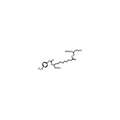 CCCCCCC(CCCCCCCCC(=O)OCC(CCCCC)CCCCC)OC(=O)Oc1ccc([N+](=O)[O-])cc1